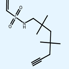 C#CCC(C)(C)CC(C)(C)CNS(=O)(=O)C=C